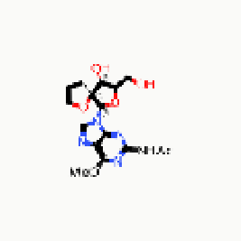 COc1nc(NC(C)=O)nc2c1ncn2[C@@H]1OC(CO)[C@@H](O)[C@@]12CCCO2